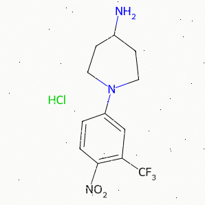 Cl.NC1CCN(c2ccc([N+](=O)[O-])c(C(F)(F)F)c2)CC1